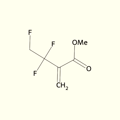 C=C(C(=O)OC)C(F)(F)CF